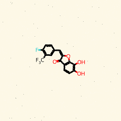 O=C1/C(=C\c2ccc(F)c(C(F)(F)F)c2)Oc2c1ccc(O)c2O